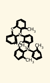 Cc1ccccc1N(c1cccc(N2c3ccccc3Sc3cccc(C)c32)c1C)c1c(C)cccc1C